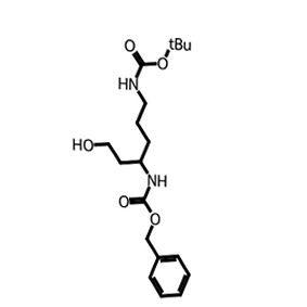 CC(C)(C)OC(=O)NCCCC(CCO)NC(=O)OCc1ccccc1